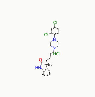 CCC1(CCCCN2CCN(c3ccc(Cl)cc3Cl)CC2)C(=O)Nc2ccccc21.Cl